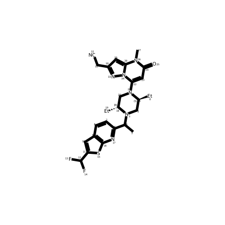 CC[C@H]1CN(C(C)c2ccc3cc(C(F)F)sc3n2)[C@H](CC)CN1c1cc(=O)n(C)c2cc(CC#N)nn12